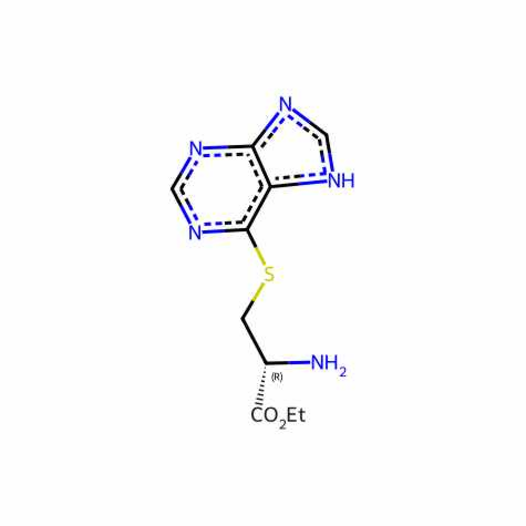 CCOC(=O)[C@@H](N)CSc1ncnc2nc[nH]c12